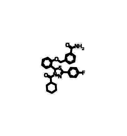 NC(=O)c1cccc(COc2ccccc2C2SC(c3ccc(F)cc3)=NN2C(=O)C2CCCCC2)c1